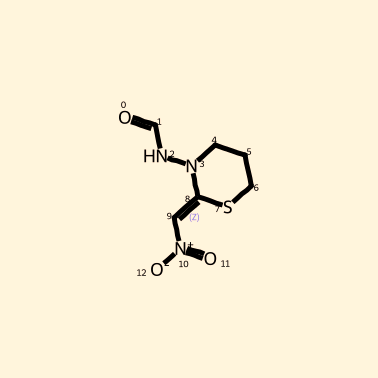 O=CNN1CCCS/C1=C\[N+](=O)[O-]